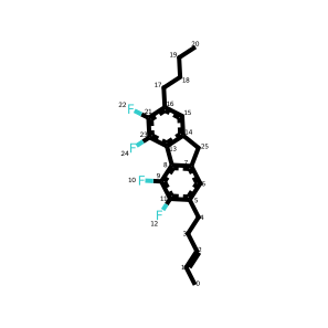 C/C=C/CCc1cc2c(c(F)c1F)-c1c(cc(CCCC)c(F)c1F)C2